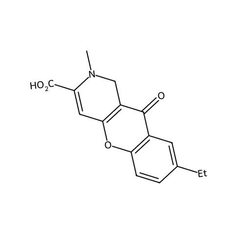 CCc1ccc2oc3c(c(=O)c2c1)CN(C)C(C(=O)O)=C3